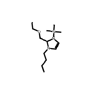 CCCCN1C=CN([Si](C)(C)C)C1COCC